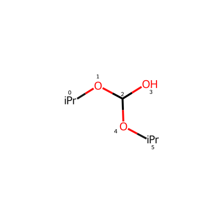 CC(C)OC(O)OC(C)C